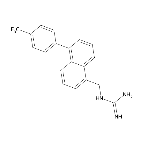 N=C(N)NCc1cccc2c(-c3ccc(C(F)(F)F)cc3)cccc12